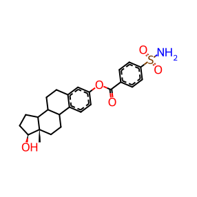 C[C@]12CCC3c4ccc(OC(=O)c5ccc(S(N)(=O)=O)cc5)cc4CCC3C1CC[C@@H]2O